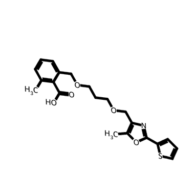 Cc1cccc(COCCCOCc2nc(-c3cccs3)oc2C)c1C(=O)O